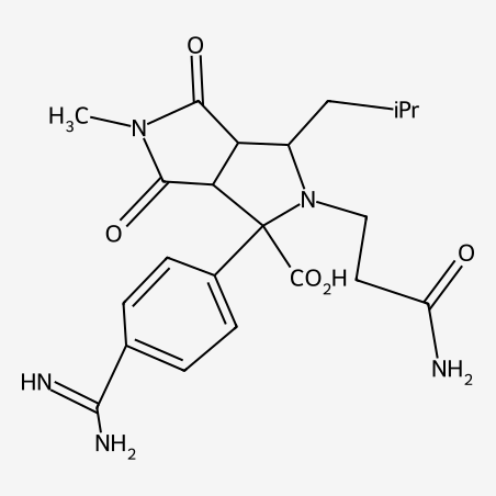 CC(C)CC1C2C(=O)N(C)C(=O)C2C(C(=O)O)(c2ccc(C(=N)N)cc2)N1CCC(N)=O